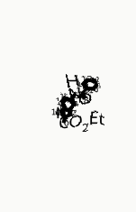 CCOC(=O)c1cc2cc(NC(=O)c3ccccc3)ccc2n1C